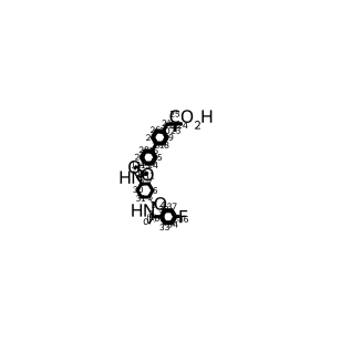 C[C@@H](NC(=O)[C@H]1CC[C@H](NS(=O)(=O)c2ccc(-c3ccc(CC(C)(C)C(=O)O)cc3)cc2)CC1)c1ccc(F)cc1